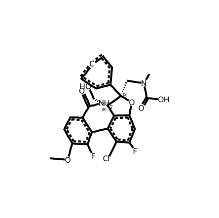 COc1ccc(C(N)=O)c(-c2c(Cl)c(F)cc3c2[C@H](CO)[C@@](CN(C)C(=O)O)(c2ccccc2)O3)c1F